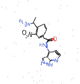 CC(N)c1ccc(C(=O)Nc2ccnc3[nH]ncc23)cc1[N+](=O)[O-]